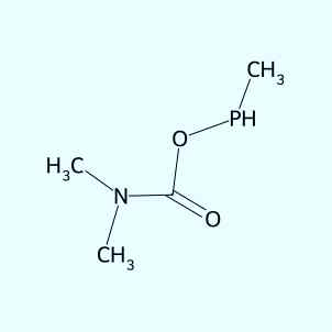 CPOC(=O)N(C)C